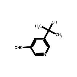 CC(C)(O)c1cncc(C=O)c1